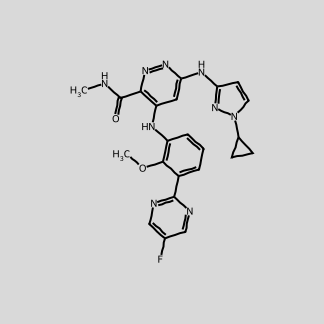 CNC(=O)c1nnc(Nc2ccn(C3CC3)n2)cc1Nc1cccc(-c2ncc(F)cn2)c1OC